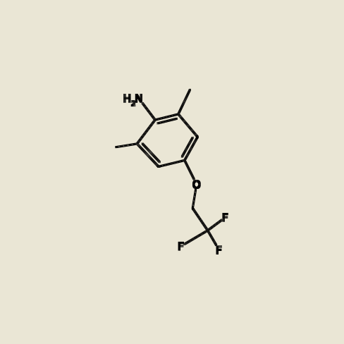 Cc1cc(OCC(F)(F)F)cc(C)c1N